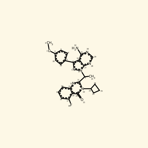 COc1ccc(-c2nn(C(C)c3nc4cccc(F)c4c(=O)n3C3CCC3)c3ncnc(N)c23)cc1